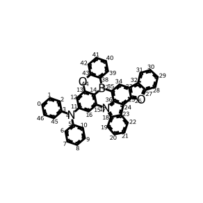 c1ccc(N(c2ccccc2)c2cc3c4c(c2)-n2c5ccccc5c5c6oc7ccccc7c6cc(c52)B4c2ccccc2O3)cc1